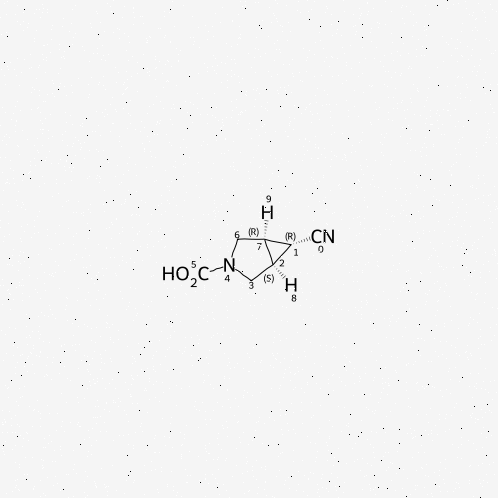 N#C[C@@H]1[C@H]2CN(C(=O)O)C[C@@H]12